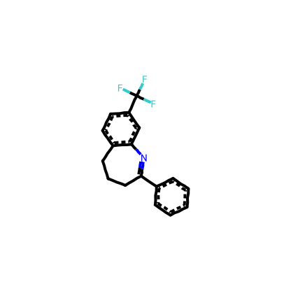 FC(F)(F)c1ccc2c(c1)N=C(c1ccccc1)CCC2